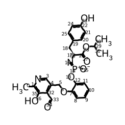 Cc1ncc(COc2ccccc2O[P+]([O-])=N[C@@H](Cc2ccc(O)cc2)C(=O)OC(C)C)c(C=O)c1O